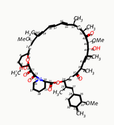 CO[C@H]1CC2CC[C@@H](C)[C@@](O)(O2)C(=O)C(=O)N2CCCCC2C(=O)O[C@H]([C@H](C)C[C@@H]2CCC(C)[C@H](OC)C2)CC(=O)[C@H](C)/C=C(\C)[C@@H](O)[C@@H](OC)C(=O)[C@H](C)C[C@H](C)/C=C/C=C/C=C/1C